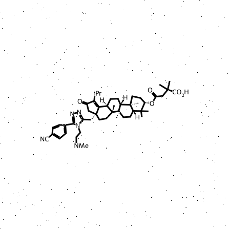 CNCCn1c(C[C@@]23CC[C@]4(C)[C@H](CC[C@@H]5[C@@]6(C)CC[C@H](OC(=O)CC(C)(C)C(=O)O)C(C)(C)[C@@H]6CC[C@]54C)C2=C(C(C)C)C(=O)C3)nnc1-c1ccc(C#N)cc1